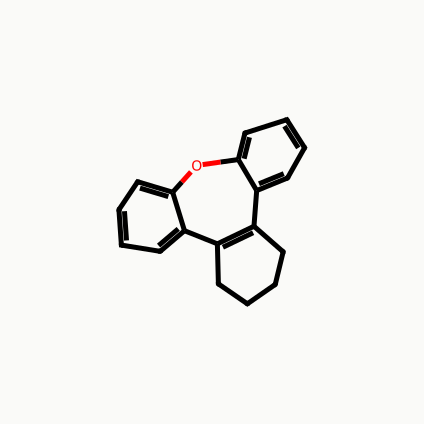 c1ccc2c(c1)Oc1ccccc1C1=C2CCCC1